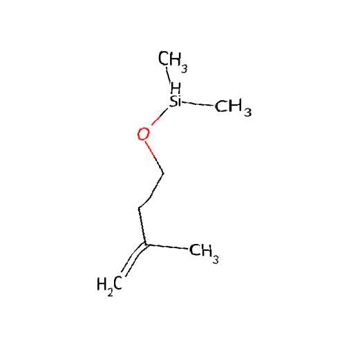 C=C(C)CCO[SiH](C)C